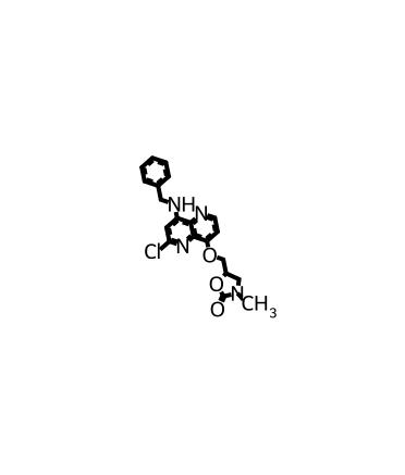 CN1CC(COc2ccnc3c(NCc4ccccc4)cc(Cl)nc23)OC1=O